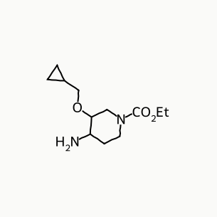 CCOC(=O)N1CCC(N)C(OCC2CC2)C1